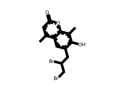 Cc1cc(=O)oc2c(C)c(O)c(CC(Br)CBr)cc12